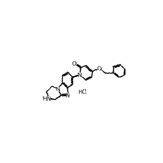 Cl.O=c1cc(OCc2ccccc2)ccn1-c1ccc2c(c1)nc1n2CCNC1